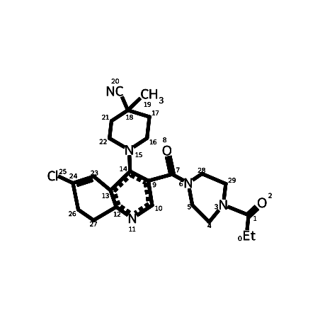 CCC(=O)N1CCN(C(=O)c2cnc3c(c2N2CCC(C)(C#N)CC2)C=C(Cl)CC3)CC1